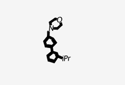 CC(C)c1cccc(-c2ccc(CN3CCOCC3)cc2)c1